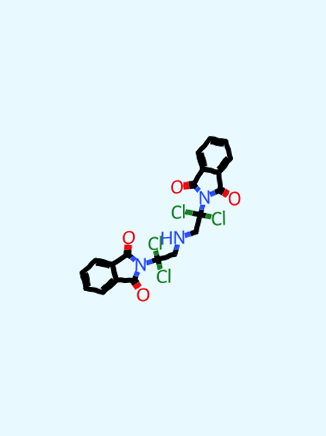 O=C1c2ccccc2C(=O)N1C(Cl)(Cl)CNCC(Cl)(Cl)N1C(=O)c2ccccc2C1=O